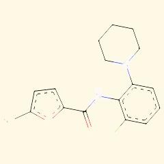 N#Cc1ccc(C(=O)Nc2c(F)cccc2N2CCCCC2)o1